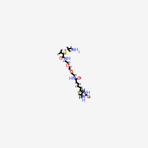 CC(C)C(SSC(C)(C)CN)C(=O)NCCOCCOCCNC(=O)CCCCC1SC[C@H]2NC(=O)N[C@@H]12